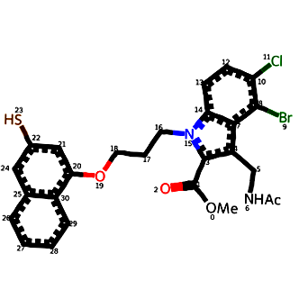 COC(=O)c1c(CNC(C)=O)c2c(Br)c(Cl)ccc2n1CCCOc1cc(S)cc2ccccc12